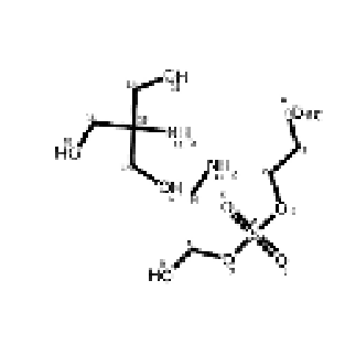 CCCCCCCCCCCCOS(=O)(=O)OCO.CN.NC(CO)(CO)CO